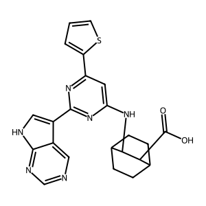 O=C(O)C1C2CCC(CC2)C1Nc1cc(-c2cccs2)nc(-c2c[nH]c3ncncc23)n1